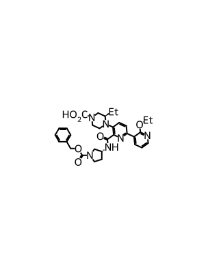 CCOc1ncccc1-c1ccc(N2CCN(C(=O)O)C[C@H]2CC)c(C(=O)N[C@@H]2CCN(C(=O)OCc3ccccc3)C2)n1